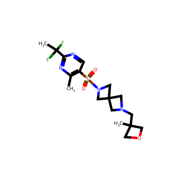 Cc1nc(C(C)(F)F)ncc1S(=O)(=O)N1CC2(CN(CC3(C)COC3)C2)C1